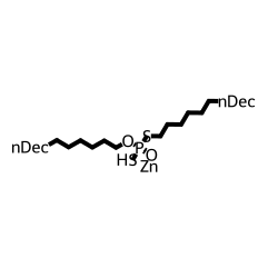 CCCCCCCCCCCCCCCCOP(=O)(S)SCCCCCCCCCCCCCCCC.[Zn]